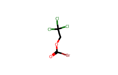 O=C(Br)OCC(Cl)(Cl)Cl